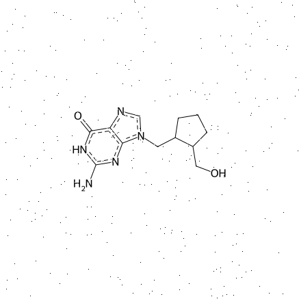 Nc1nc2c(ncn2CC2CCCC2CO)c(=O)[nH]1